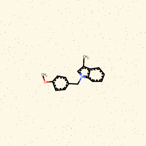 [CH2]c1cn(Cc2ccc(OC)cc2)c2ccccc12